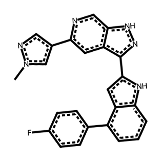 Cn1cc(-c2cc3c(-c4cc5c(-c6ccc(F)cc6)cccc5[nH]4)n[nH]c3cn2)cn1